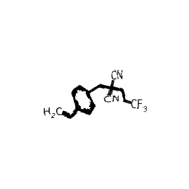 C=Cc1ccc(CC(C#N)(C#N)CCC(F)(F)F)cc1